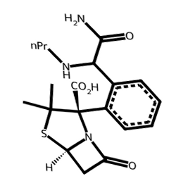 CCCNC(C(N)=O)c1ccccc1[C@]1(C(=O)O)N2C(=O)C[C@H]2SC1(C)C